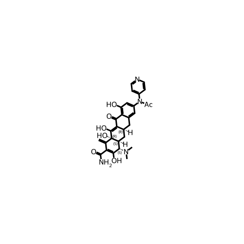 C=C1C(C(N)=O)=C(O)[C@@H](N(C)C)[C@@H]2C[C@@H]3Cc4cc(N(C(C)=O)c5ccncc5)cc(O)c4C(=O)C3=C(O)[C@]12O